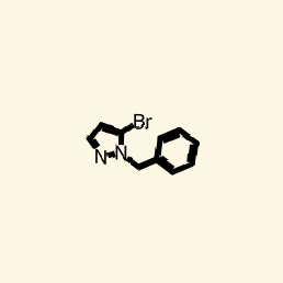 Brc1ccnn1Cc1ccccc1